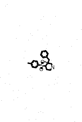 [CH2][C@@]1(Cc2ccccc2)CN=CCC1S(=O)(=O)c1ccc(C)cc1